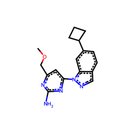 COCc1cc(-n2ncc3ccc(C4CCC4)cc32)nc(N)n1